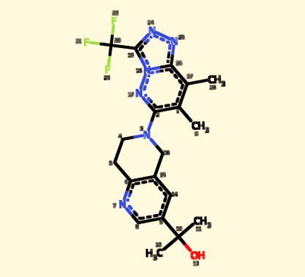 Cc1c(N2CCc3ncc(C(C)(C)O)cc3C2)nn2c(C(F)(F)F)nnc2c1C